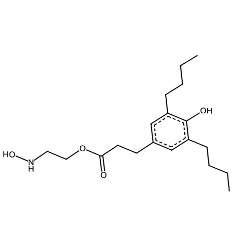 CCCCc1cc(CCC(=O)OCCNO)cc(CCCC)c1O